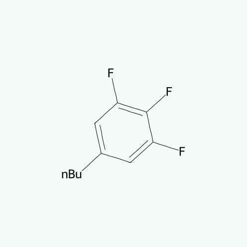 CCCCc1cc(F)c(F)c(F)c1